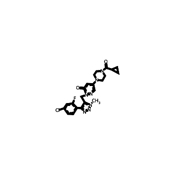 Cn1nnc(-c2ccc(Cl)cc2F)c1Cn1ncc(N2CCN(C(=O)C3CC3)CC2)cc1=O